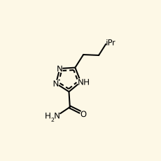 CC(C)CCc1nnc(C(N)=O)[nH]1